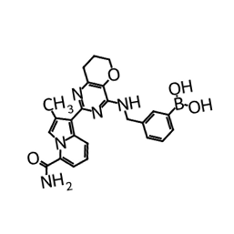 Cc1cn2c(C(N)=O)cccc2c1-c1nc2c(c(NCc3cccc(B(O)O)c3)n1)OCCC2